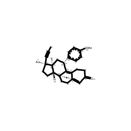 CC#C[C@]1(C(C)=O)CC[C@H]2[C@@H]3CCC4=CC(=O)CCC4=C3[C@@H](c3ccc(SC)cc3)C[C@@]21C